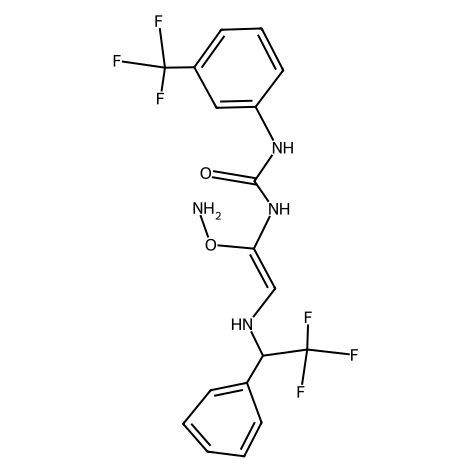 NO/C(=C\NC(c1ccccc1)C(F)(F)F)NC(=O)Nc1cccc(C(F)(F)F)c1